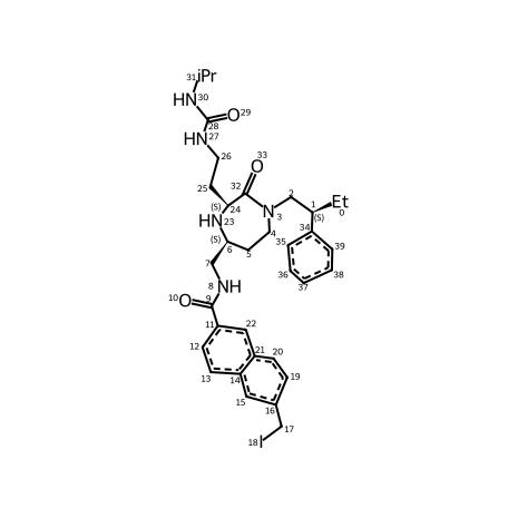 CC[C@H](CN1CC[C@@H](CNC(=O)c2ccc3cc(CI)ccc3c2)N[C@@H](CCNC(=O)NC(C)C)C1=O)c1ccccc1